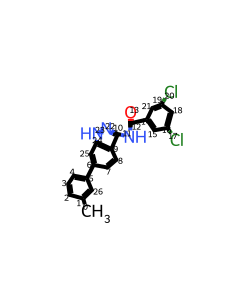 Cc1cccc(-c2ccc3c(NC(=O)c4cc(Cl)cc(Cl)c4)n[nH]c3c2)c1